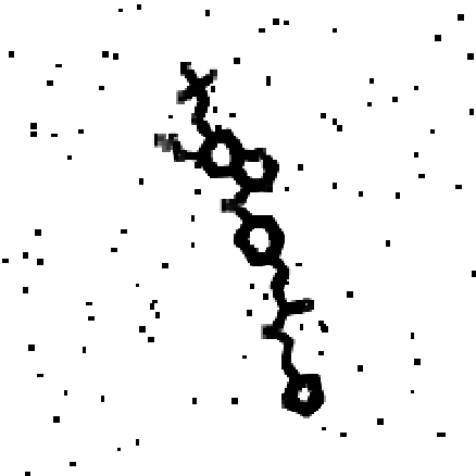 COc1cc2c(Nc3ccc(/C=C/C(=O)NCCc4cccs4)cc3)ncnc2cc1OCC(F)(F)F